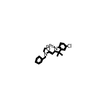 CCC[N+]1=C(/C=C2\OCCN2Cc2ccccc2)C(C)(C)c2cc(Cl)ccc21